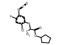 CC(Sc1cc(N=C=S)c(F)cc1Cl)C(=O)OC1CCCC1